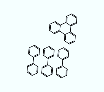 c1ccc(-c2ccccc2)cc1.c1ccc(-c2ccccc2)cc1.c1ccc(-c2ccccc2)cc1.c1ccc2c(c1)c1ccccc1c1ccccc21